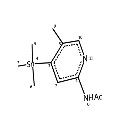 CC(=O)Nc1c[c]([Sn]([CH3])([CH3])[CH3])c(C)cn1